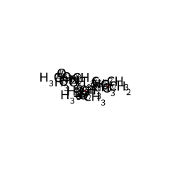 C=C(C)C(=O)OCC[N+](C)(C)CCCC[Si](C)(C)O[Si](C)(C)CCCC[N+](C)(C)CCOC(=O)C(C)=O